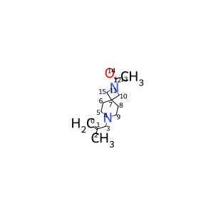 C=C(C)CN1CCC2(CC1)CN(C(C)=O)C2